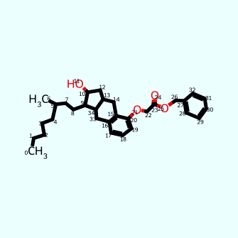 CCCCCC(C)CCC1C(O)CC2Cc3c(cccc3OCC(=O)OCc3ccccc3)CC21